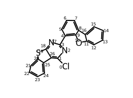 Clc1nc(-c2cccc3c2oc2ccccc23)nc2sc3ccccc3c12